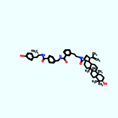 C=C(C)[C@@H]1CC[C@]2(C(=O)NCCc3cccc(C(=O)NCc4ccc(C(=O)N[C@H](Cc5ccc(O)cc5)C(=O)O)cc4)c3)CC[C@]3(C)C(CCC4[C@@]5(C)CC[C@H](O)C(C)(C)C5CC[C@]43C)C12